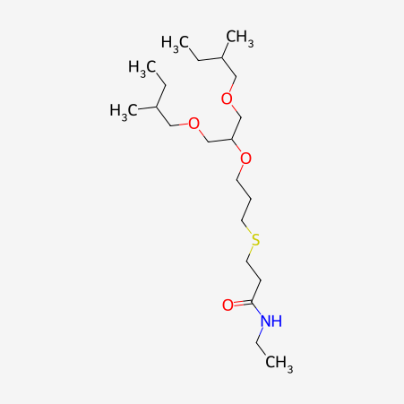 CCNC(=O)CCSCCCOC(COCC(C)CC)COCC(C)CC